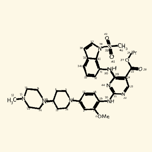 COc1cc(N2CCC(N3CCN(C)CC3)CC2)ccc1Nc1ncc(C(=O)OC(C)C)c(Nc2cccc3ccn(S(C)(=O)=O)c23)n1